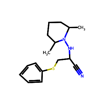 CC1CCCC(C)N1NC(C#N)CSc1ccccc1